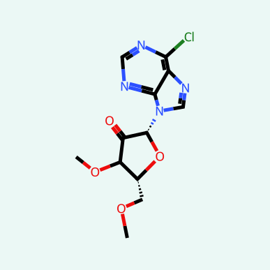 COC[C@H]1O[C@@H](n2cnc3c(Cl)ncnc32)C(=O)C1OC